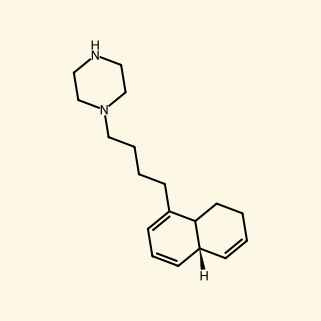 C1=C[C@H]2C=CCCC2C(CCCCN2CCNCC2)=C1